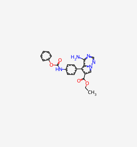 CCOC(=O)c1cn2ncnc(N)c2c1-c1ccc(NC(=O)Oc2ccccc2)cc1